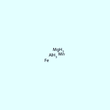 [AlH3].[Fe].[MgH2].[Mn]